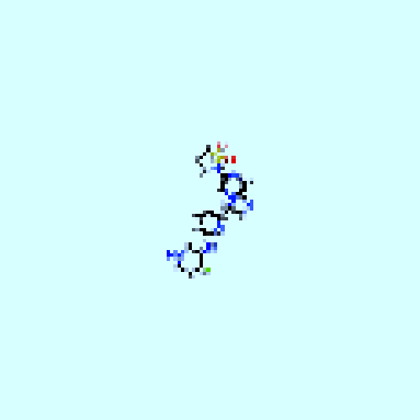 O=S1(=O)CCCN1c1cn2c(-c3cccc(NC4CNCCC4F)n3)cnc2cn1